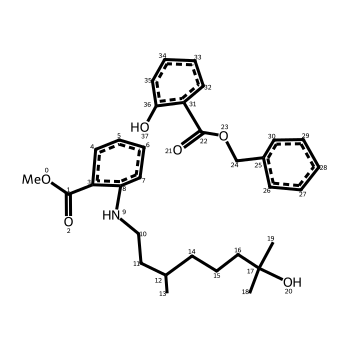 COC(=O)c1ccccc1NCCC(C)CCCC(C)(C)O.O=C(OCc1ccccc1)c1ccccc1O